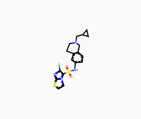 O=S(=O)(Nc1ccc2c(c1)CCN(CC1CC1)C2)c1c(Cl)nc2sccn12